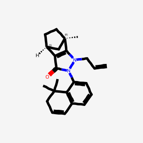 C=CCn1c2c(c(=O)n1-c1cccc3c1C(C)(C)CC=C3)[C@H]1CC[C@]2(C)C1